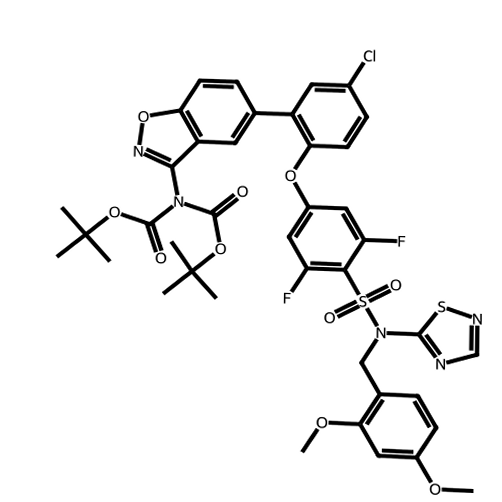 COc1ccc(CN(c2ncns2)S(=O)(=O)c2c(F)cc(Oc3ccc(Cl)cc3-c3ccc4onc(N(C(=O)OC(C)(C)C)C(=O)OC(C)(C)C)c4c3)cc2F)c(OC)c1